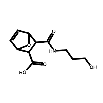 O=C(O)C1C2C=CC(O2)C1C(=O)NCCCO